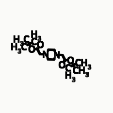 CC(C)(C)OC(=O)CN1CCN(CC(=O)OC(C)(C)C)CC1